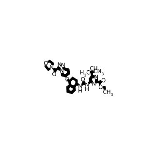 CCOC(=O)c1nc(NC(=O)NC2CCC(Oc3ccc4nnc(C(=O)N5CCOCC5)n4c3)c3ccccc32)cc(C(C)(C)C)n1